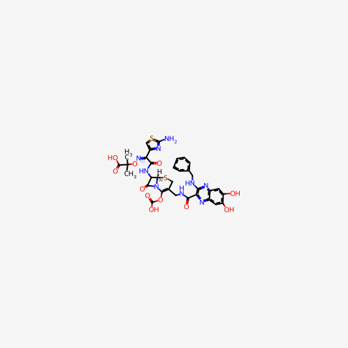 CC(C)(O/N=C(\C(=O)NC1C(=O)N2C(OC(=O)O)=C(CNC(=O)c3nc4cc(O)c(O)cc4nc3NCc3ccccc3)CS[C@@H]12)c1csc(N)n1)C(=O)O